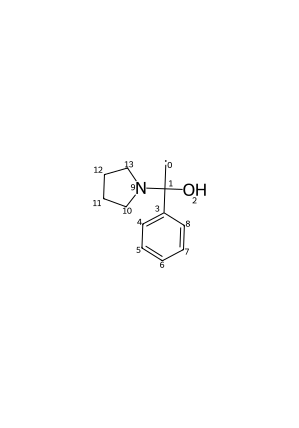 [CH2]C(O)(c1ccccc1)N1CCCC1